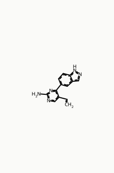 C=Cc1cnc(N)nc1-c1ccc2[nH]ncc2c1